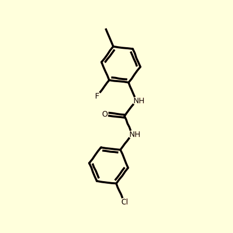 Cc1ccc(NC(=O)Nc2cccc(Cl)c2)c(F)c1